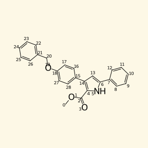 COC(=O)c1[nH]c(-c2ccccc2)cc1-c1ccc(OCc2ccccc2)cc1